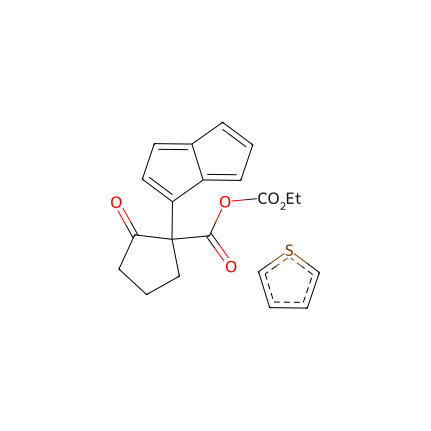 CCOC(=O)OC(=O)C1(C2=CC=C3C=CC=C32)CCCC1=O.c1ccsc1